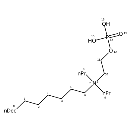 CCCCCCCCCCCCCCCC[N+](CCC)(CCC)CCOP(=O)(O)O